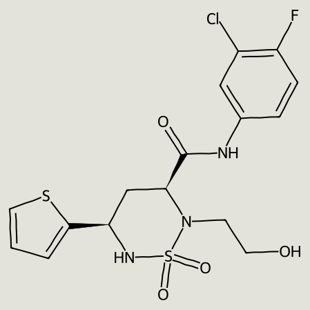 O=C(Nc1ccc(F)c(Cl)c1)[C@@H]1C[C@H](c2cccs2)NS(=O)(=O)N1CCO